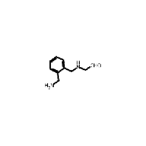 NCc1ccccc1CNCC=O